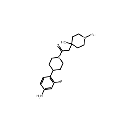 CC(C)(C)N1CCC(O)(CC(=O)N2CCC(c3ccc(N)cc3F)CC2)CC1